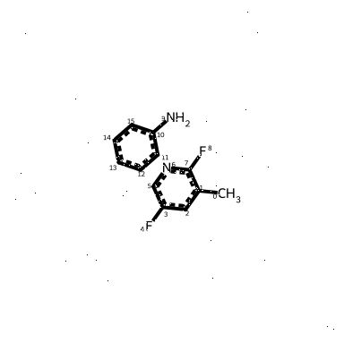 Cc1cc(F)cnc1F.Nc1ccccc1